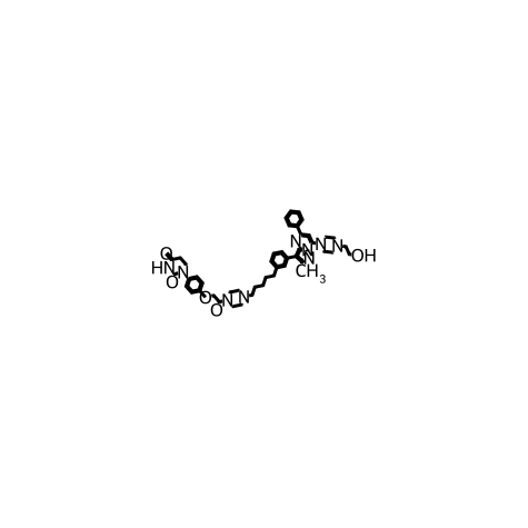 Cc1nn2c(N3CCN(CCO)CC3)cc(-c3ccccc3)nc2c1-c1cccc(CCCCCN2CCN(C(=O)COc3ccc(N4CCC(=O)NC4=O)cc3)CC2)c1